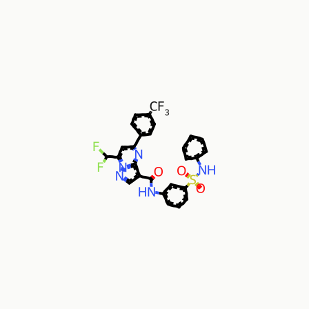 O=C(Nc1cccc(S(=O)(=O)Nc2ccccc2)c1)c1cnn2c(C(F)F)cc(-c3ccc(C(F)(F)F)cc3)nc12